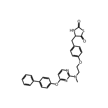 CN(CCOc1ccc(CC2NC(=O)SC2=O)cc1)c1nccc(Oc2ccc(-c3ccccc3)cc2)n1